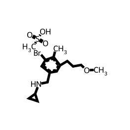 COCCCc1cc(CNC2CC2)cc(Br)c1C.CS(=O)(=O)O